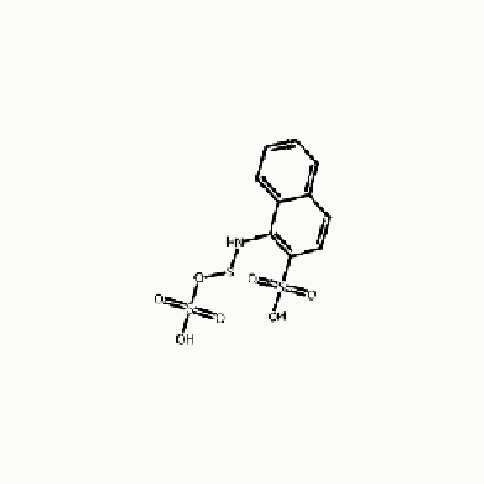 O=S(=O)(O)OSNc1c(S(=O)(=O)O)ccc2ccccc12